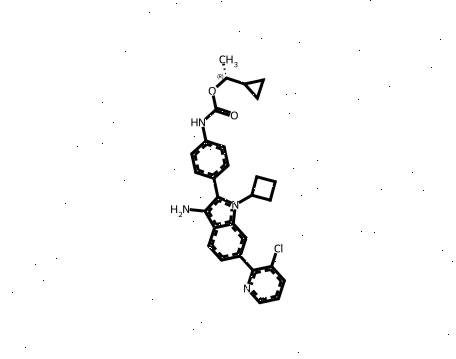 C[C@@H](OC(=O)Nc1ccc(-c2c(N)c3ccc(-c4ncccc4Cl)cc3n2C2CCC2)cc1)C1CC1